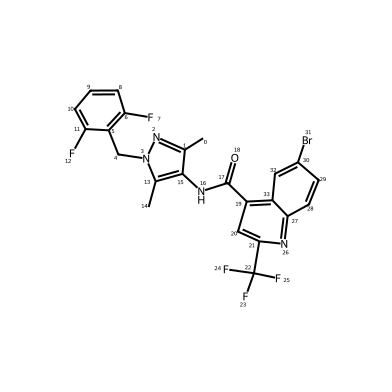 Cc1nn(Cc2c(F)cccc2F)c(C)c1NC(=O)c1cc(C(F)(F)F)nc2ccc(Br)cc12